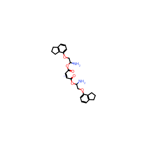 NC(COc1cccc2c1CCC2)OC(=O)/C=C\C(=O)OC(N)COc1cccc2c1CCC2